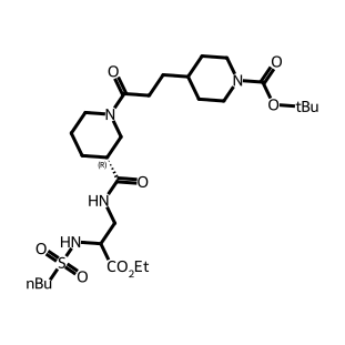 CCCCS(=O)(=O)NC(CNC(=O)[C@@H]1CCCN(C(=O)CCC2CCN(C(=O)OC(C)(C)C)CC2)C1)C(=O)OCC